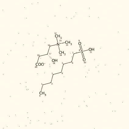 CCCCCCCCS(=O)(=O)O.C[N+](C)(C)C[C@H](O)CC(=O)[O-]